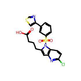 O=C(O)CCCc1cc2nc(Cl)ccc2n1S(=O)(=O)c1cccc(-c2cscn2)c1